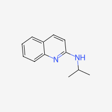 CC(C)Nc1ccc2ccccc2n1